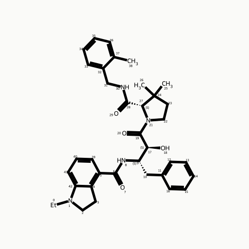 CCN1CCc2c(C(=O)N[C@@H](Cc3ccccc3)[C@H](O)C(=O)N3CCC(C)(C)[C@H]3C(=O)NCc3ccccc3C)cccc21